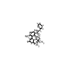 C[C@]1(N)CCN(c2c(C(=O)NCc3ccccn3)cnc(C#N)c2-c2cc(F)cc(F)c2)C1